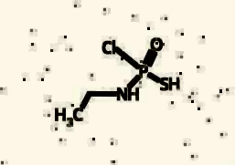 CCNP(=O)(S)Cl